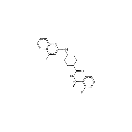 Cc1cc(NC2CCC(C(=O)N[C@H](C)c3ccccc3F)CC2)nc2ccccc12